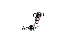 CCC(C)C(Cl)COC(=O)c1ccc(OC(=O)c2ccc(OCCCCCCCCCCCCOC(=O)C(CC)(OC(C)=O)OC(C)=O)cc2)cc1